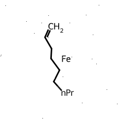 C=CCCCCCCC.[Fe]